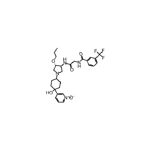 CCCO[C@H]1CN(C2CCC(O)(c3ccc[n+]([O-])c3)CC2)C[C@@H]1NC(=O)CNC(=O)c1cccc(C(F)(F)F)c1